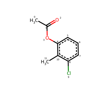 CC(=O)Oc1cccc(Cl)c1C